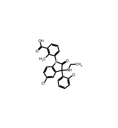 CCNC1(c2ccccc2Cl)C(=O)N(c2cccc(C(=O)O)c2C)c2ccc(Cl)cc21